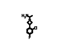 CC(N)N1CC(c2ccc(F)cc2Cl)C1